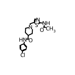 CC(=O)Nc1ncc(CN2CCC(C(=O)Nc3ccc(Cl)cc3)CC2)s1